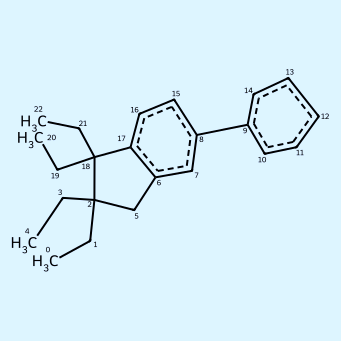 CCC1(CC)Cc2cc(-c3ccccc3)ccc2C1(CC)CC